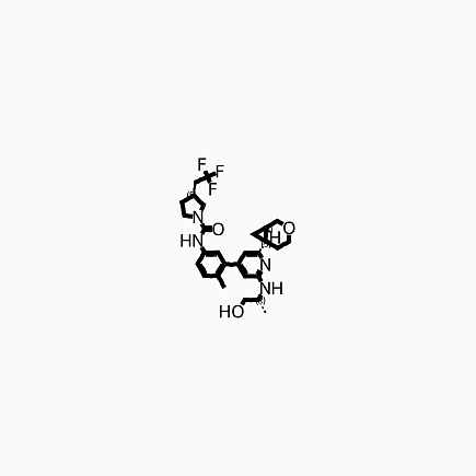 Cc1ccc(NC(=O)N2CC[C@@H](CC(F)(F)F)C2)cc1-c1cc(N[C@H](C)CO)nc([C@@]23CCOC[C@@H]2C3)c1